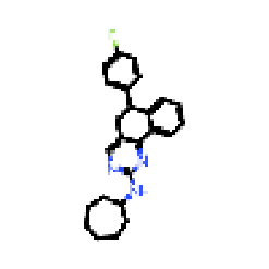 Fc1ccc(C2Cc3cnc(NC4CCCCCC4)nc3-c3ccccc32)cc1